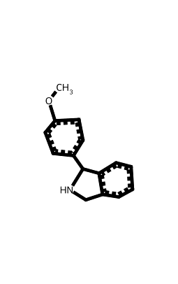 COc1ccc(C2NCc3ccccc32)cc1